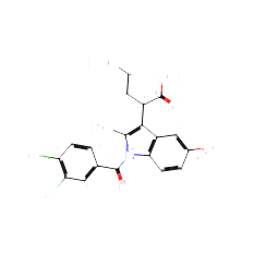 CCCC(C(=O)O)c1c(C)n(C(=O)c2ccc(Cl)c(F)c2)c2ccc(O)cc12